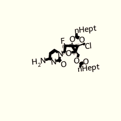 CCCCCCCC(=O)OC[C@@]12O[C@@H](n3ccc(N)nc3=O)[C@H](F)[C@@]1(OC(=O)CCCCCCC)[C@H]2CCl